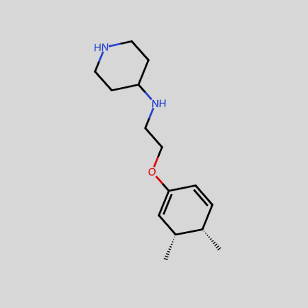 C[C@@H]1C=C(OCCNC2CCNCC2)C=C[C@@H]1C